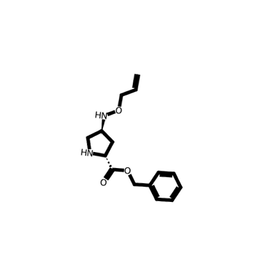 C=CCON[C@@H]1CN[C@@H](C(=O)OCc2ccccc2)C1